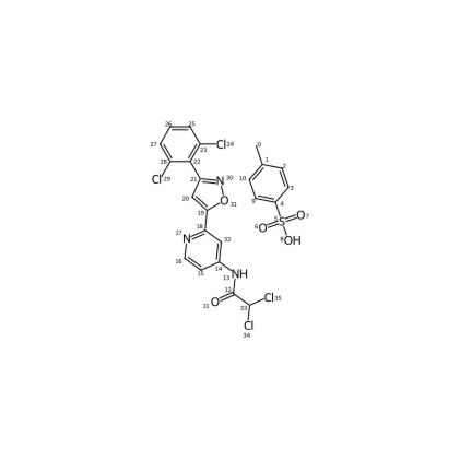 Cc1ccc(S(=O)(=O)O)cc1.O=C(Nc1ccnc(-c2cc(-c3c(Cl)cccc3Cl)no2)c1)C(Cl)Cl